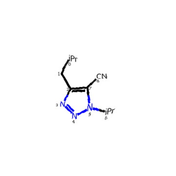 CC(C)Cc1nnn(C(C)C)c1C#N